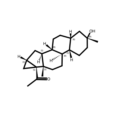 CC(=O)[C@@]12C[C@@H]1C[C@H]1[C@@H]3CC[C@@H]4C[C@](C)(O)CC[C@@H]4[C@H]3CC[C@@]12C